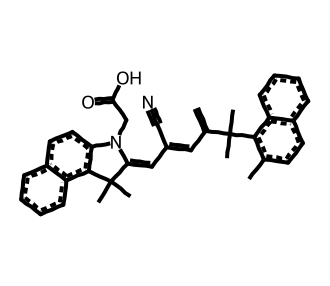 C=C(/C=C(C#N)/C=C1\N(CC(=O)O)c2ccc3ccccc3c2C1(C)C)C(C)(C)c1c(C)ccc2ccccc12